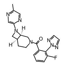 Cc1cnc(N2C[C@@H]3CCN(C(=O)c4cccc(F)c4-n4nccn4)C[C@@H]32)cn1